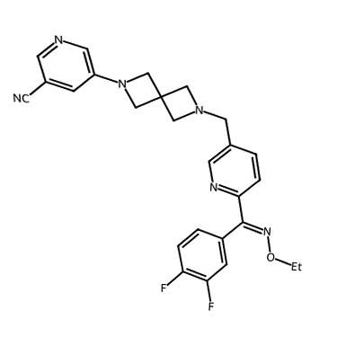 CCO/N=C(\c1ccc(F)c(F)c1)c1ccc(CN2CC3(C2)CN(c2cncc(C#N)c2)C3)cn1